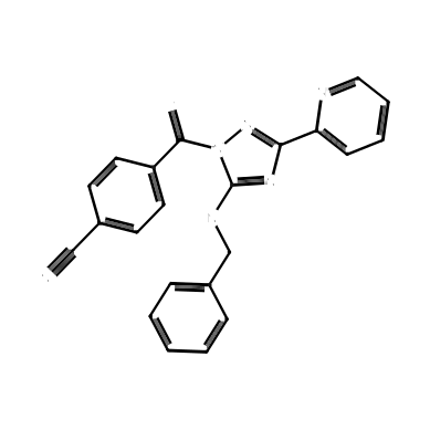 N#Cc1ccc(C(=O)n2nc(-c3ccccn3)nc2NCc2ccccc2)cc1